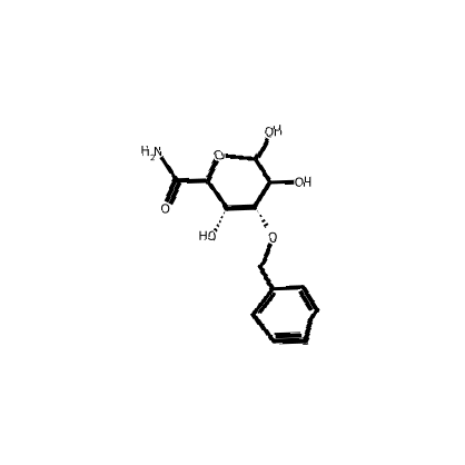 NC(=O)C1OC(O)C(O)[C@H](OCc2ccccc2)[C@@H]1O